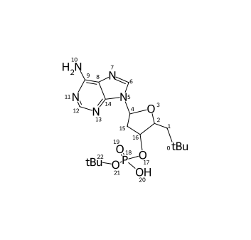 CC(C)(C)CC1OC(n2cnc3c(N)ncnc32)CC1OP(=O)(O)OC(C)(C)C